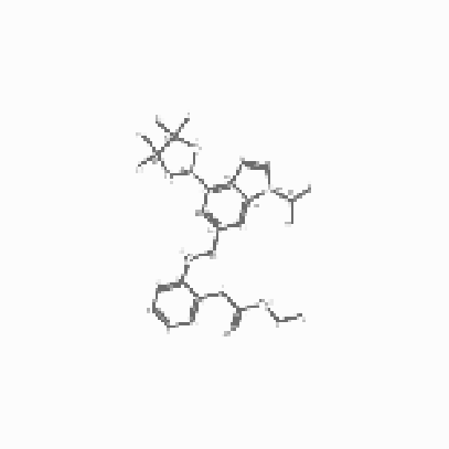 CCOC(=O)Cc1ccccc1OCc1cc(B2OC(C)(C)C(C)(C)O2)c2ccn(C(C)C)c2c1